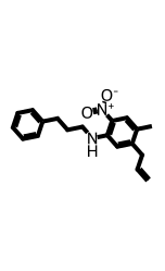 C=CCc1cc(NCCCc2ccccc2)c([N+](=O)[O-])cc1C